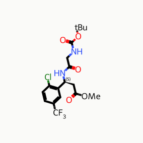 COC(=O)C[C@H](NC(=O)CNC(=O)OC(C)(C)C)c1cc(C(F)(F)F)ccc1Cl